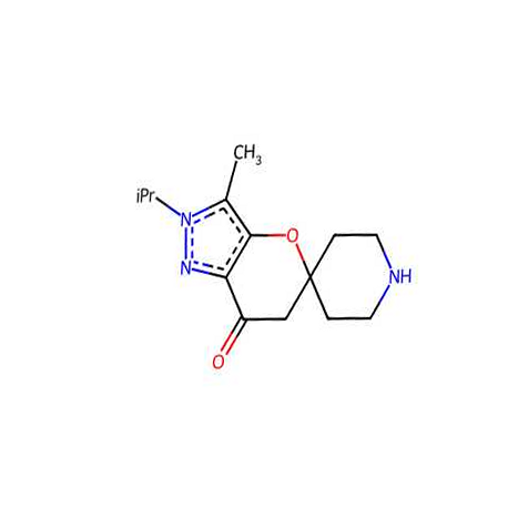 Cc1c2c(nn1C(C)C)C(=O)CC1(CCNCC1)O2